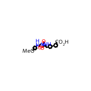 COc1ccc(NC(=O)CN2C(=O)N/C(=C\C3C=CC(C4C=CC=C(C(=O)O)C4)=CC3)C2=O)cc1